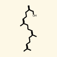 C=C(CO)CCC=C(C)CCC=C(C)CCC=C(C)C